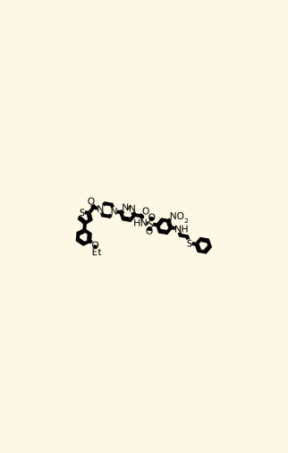 CCOc1cccc(-c2csc(C(=O)N3CCN(c4ccc(C(=O)NS(=O)(=O)c5ccc(NCCSc6ccccc6)c([N+](=O)[O-])c5)nn4)CC3)c2)c1